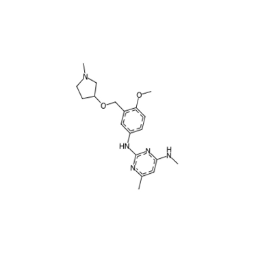 CNc1cc(C)nc(Nc2ccc(OC)c(COC3CCN(C)C3)c2)n1